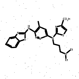 CCN(CC)CCCN(c1cc(C)c(Nc2nc3ccccc3s2)nn1)c1nc(C(=O)O)cs1